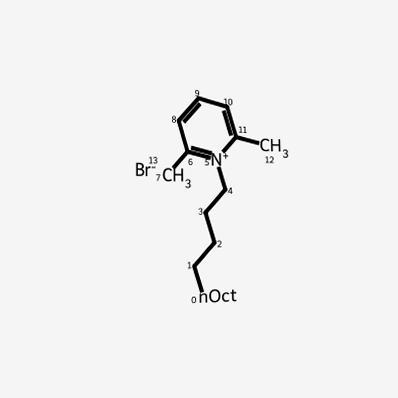 CCCCCCCCCCCC[n+]1c(C)cccc1C.[Br-]